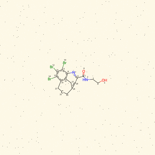 O=C(NCCO)C1=Nc2c(Br)c(Br)c(Br)c3c2CC(=C1)CCC3